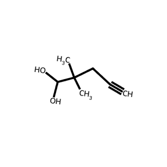 C#CCC(C)(C)C(O)O